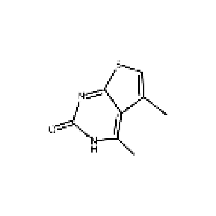 Cc1csc2nc(=O)[nH]c(C)c12